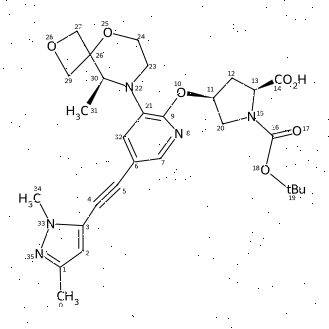 Cc1cc(C#Cc2cnc(O[C@H]3C[C@@H](C(=O)O)N(C(=O)OC(C)(C)C)C3)c(N3CCOC4(COC4)[C@@H]3C)c2)n(C)n1